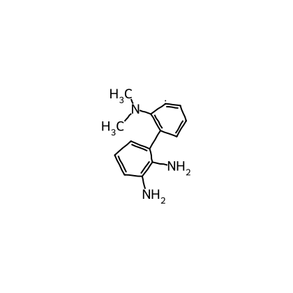 CN(C)c1[c]cccc1-c1cccc(N)c1N